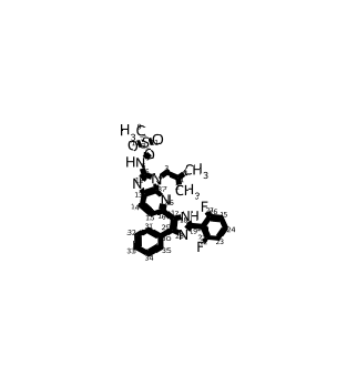 CC(C)Cn1c(NOS(C)(=O)=O)nc2ccc(-c3[nH]c(-c4c(F)cccc4F)nc3-c3ccccc3)nc21